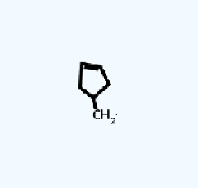 [CH2]C1CC=CC1